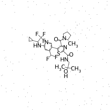 C[C@H]1CCCN1C(=O)c1nc(C(=O)NCC(C)(C)O)sc1-c1cnc(N[C@@H](C2CC2)C(F)(F)F)cc1C(F)F